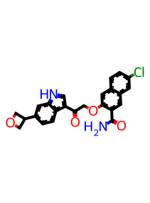 NC(=O)c1cc2cc(Cl)ccc2cc1OCC(=O)c1c[nH]c2cc(C3COC3)ccc12